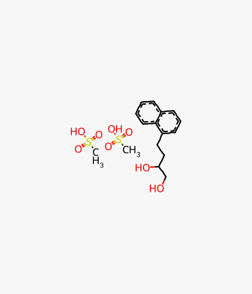 CS(=O)(=O)O.CS(=O)(=O)O.OCC(O)CCc1cccc2ccccc12